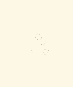 N[C@H](CO)CSc1nonc1/C(=N/O)Nc1ccc(F)c(Br)c1